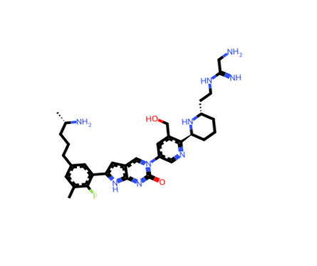 Cc1cc(CCC[C@H](C)N)cc(-c2cc3cn(-c4cnc([C@@H]5CCC[C@@H](CCNC(=N)CN)N5)c(CO)c4)c(=O)nc3[nH]2)c1F